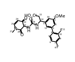 COc1cc(-c2ccc(F)cc2F)cc(C(CC(=O)O)NC(=O)NC2C(=O)C=CN(C)C2=O)c1